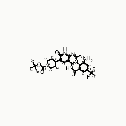 Cc1nc(NC(C)c2cc(N)cc(C(F)(F)F)c2)c2cc(C3CCN(C(=O)OC(C)(C)C)CC3)c(=O)[nH]c2n1